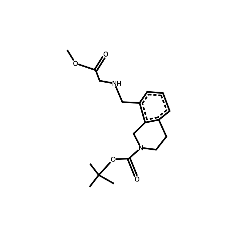 COC(=O)CNCc1cccc2c1CN(C(=O)OC(C)(C)C)CC2